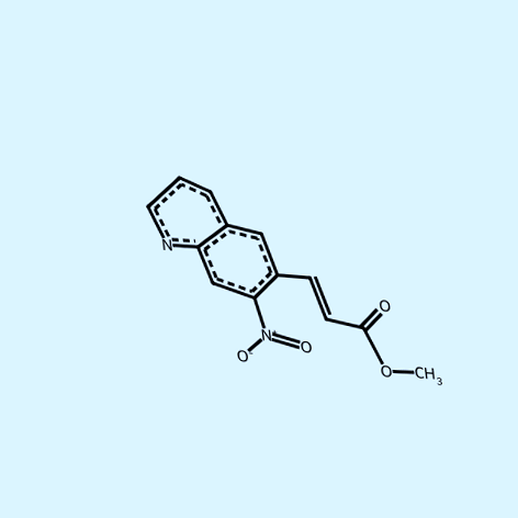 COC(=O)C=Cc1cc2cccnc2cc1[N+](=O)[O-]